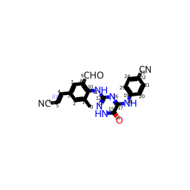 Cc1cc(/C=C/C#N)cc(C=O)c1Nc1n[nH]c(=O)c(Nc2ccc(C#N)cc2)n1